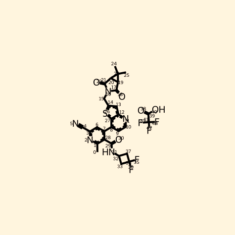 Cc1nc(C#N)cc(-c2ccnc3cc(CN4C(=O)C5C(C4=O)C5(C)C)sc23)c1C(=O)NC1CC(F)(F)C1.O=C(O)C(F)(F)F